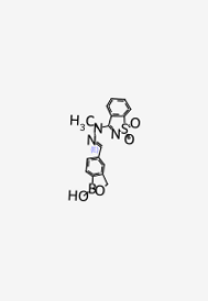 CN(/N=C/c1ccc2c(c1)COB2O)C1=NS(=O)(=O)c2ccccc21